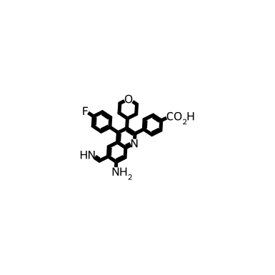 N=Cc1cc2c(-c3ccc(F)cc3)c(C3CCOCC3)c(-c3ccc(C(=O)O)cc3)nc2cc1N